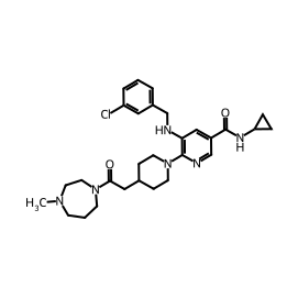 CN1CCCN(C(=O)CC2CCN(c3ncc(C(=O)NC4CC4)cc3NCc3cccc(Cl)c3)CC2)CC1